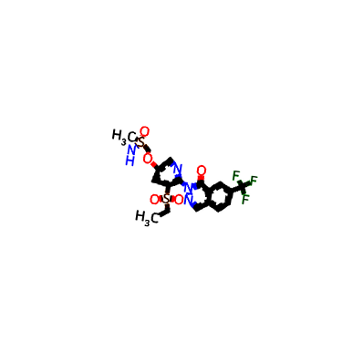 CCS(=O)(=O)c1cc(OCS(C)(=N)=O)cnc1-n1ncc2ccc(C(F)(F)F)cc2c1=O